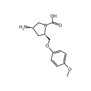 COc1ccc(OC[C@H]2C[C@@H](N)CN2C(=O)O)cc1